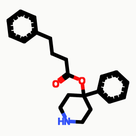 O=C(CCCc1ccccc1)OC1(c2ccccc2)CCNCC1